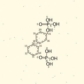 O=P(O)(O)O.O=P(O)(O)O.c1ccccc1.c1ccccc1